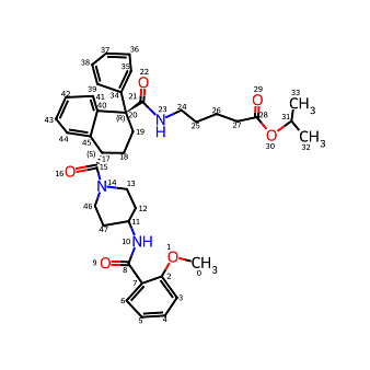 COc1ccccc1C(=O)NC1CCN(C(=O)[C@H]2CC[C@@](C(=O)NCCCCC(=O)OC(C)C)(c3ccccc3)c3ccccc32)CC1